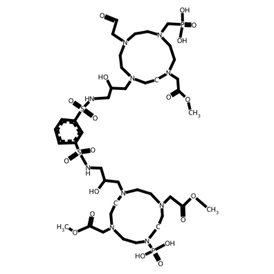 COC(=O)CN1CCN(CC(O)CNS(=O)(=O)c2cccc(S(=O)(=O)NCC(O)CN3CCN(CC(=O)OC)CCN(P(=O)(O)O)CCN(CC(=O)OC)CC3)c2)CCN(CC=O)CCN(CP(=O)(O)O)CC1